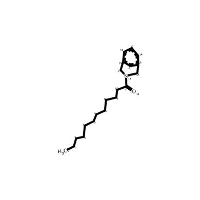 CCCCCCCCCCCC(=O)N1Cc2cccc(c2)C1